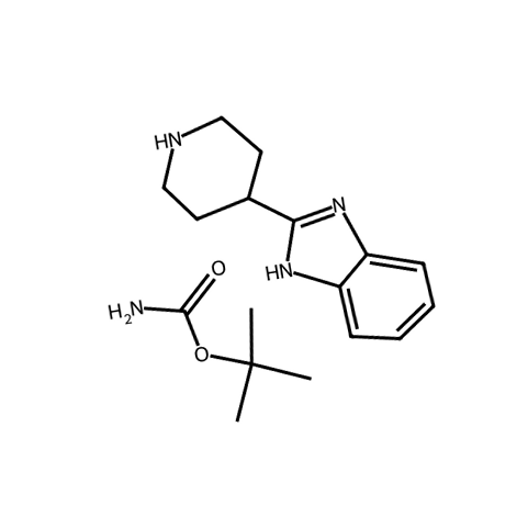 CC(C)(C)OC(N)=O.c1ccc2[nH]c(C3CCNCC3)nc2c1